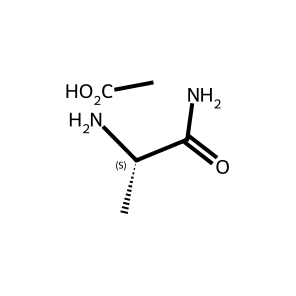 CC(=O)O.C[C@H](N)C(N)=O